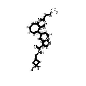 O=C(NCC1CC(F)(F)C1)c1cnn2ccc(C3=CCCCc4nc(CCC(F)(F)F)ncc43)cc12